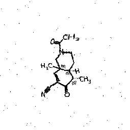 CC(=O)N1CC[C@H]2[C@H](C)C(=O)C(C#N)=C[C@]2(C)C1